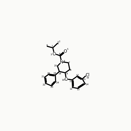 CC(I)OC(=O)N1CCC(Oc2cccc(Cl)c2)C(c2ccccc2)C1